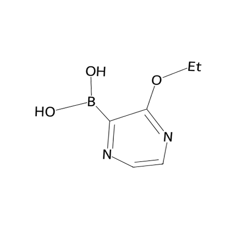 CCOc1nccnc1B(O)O